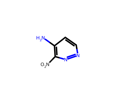 Nc1ccnnc1[N+](=O)[O-]